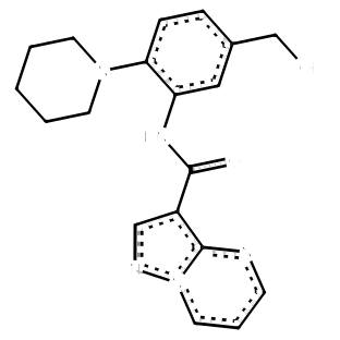 O=C(Nc1cc(CO)ccc1N1CCCCC1)c1cnn2cccnc12